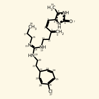 C=C(/C=C\c1[nH]c(=O)[nH]c1C)CCN/C(=N\CCC)NCCC1C=CC=C(Cl)C=C1